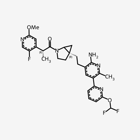 COc1cc([C@@H](C)C(=O)N2CC[C@]3(CCc4cc(-c5cccc(OC(F)F)n5)c(C)nc4N)CC23)c(F)cn1